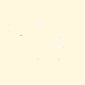 c1ccc(-c2nc(-c3ccc(-n4c5ccccc5c5ccc(-c6cccc7oc8ccccc8c67)cc54)cc3)nc(-c3cccc4c3-c3ccccc3C43c4ccccc4-c4ccccc43)n2)cc1